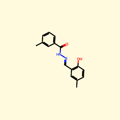 Cc1cccc(C(=O)N/N=C/c2cc(C)ccc2O)c1